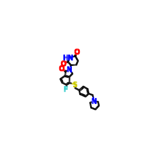 O=C1CCC(N2Cc3c(ccc(F)c3SCc3ccc(CN4CCCCC4)cc3)C2=O)C(=O)N1